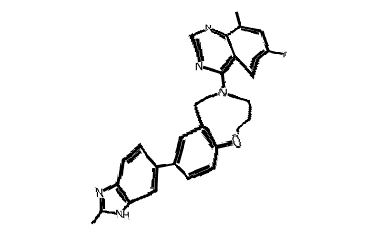 Cc1nc2ccc(-c3ccc4c(c3)CN(c3ncnc5c(C)cc(I)cc35)CCO4)cc2[nH]1